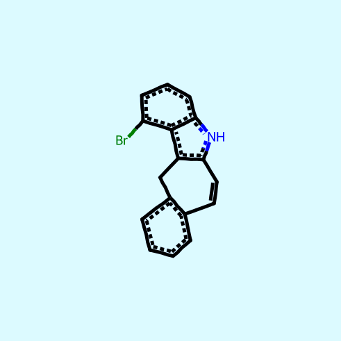 Brc1cccc2[nH]c3c(c12)Cc1ccccc1C=C3